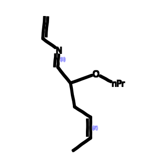 C=C/N=C/C(C/C=C\C)OCCC